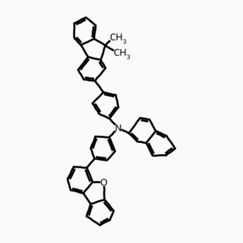 CC1(C)c2ccccc2-c2ccc(-c3ccc(N(c4ccc(-c5cccc6c5oc5ccccc56)cc4)c4ccc5ccccc5c4)cc3)cc21